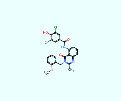 Cc1nc2cccc(NC(=O)c3cc(Cl)c(O)c(Cl)c3)c2c(=O)n1Cc1ccccc1OC(F)(F)F